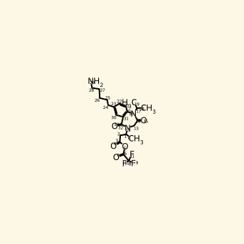 CC(CC(=O)OC(=O)C(F)(F)F)N1CC(=O)N(C(C)C)c2ccc(CCCCCN)cc2C1=O